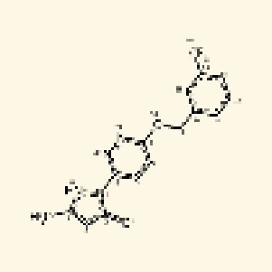 Cc1cc(=O)n(-c2ccc(OCc3cccc(C(F)(F)F)c3)nn2)[nH]1